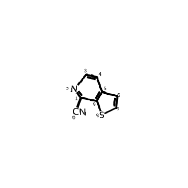 N#Cc1nccc2ccsc12